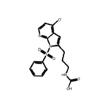 O=C(O)NCCCc1cc2c(Cl)ccnc2n1S(=O)(=O)c1ccccc1